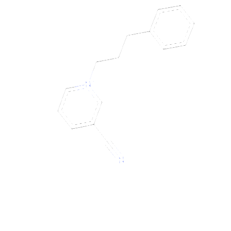 N#Cc1ccc[n+](CCCc2ccccc2)c1